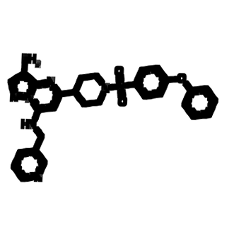 Bc1cnn2c(NCc3cccnc3)cc(C3CCN(S(=O)(=O)c4ccc(Oc5ccccc5)cc4)CC3)nc12